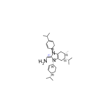 CC(C)C1=CC[C@@H](N2C3=C(C[C@@H](C(C)C)[C@@H](C)C3)N([C@H]3C=C[C@@H](C(C)C)CC3)/C2=C\N)C=C1